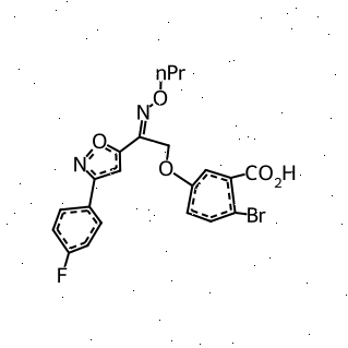 CCCO/N=C(\COc1ccc(Br)c(C(=O)O)c1)c1cc(-c2ccc(F)cc2)no1